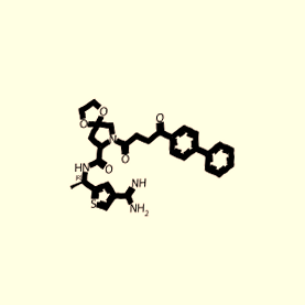 C[C@@H](NC(=O)C1CC2(CN1C(=O)CCC(=O)c1ccc(-c3ccccc3)cc1)OCCO2)c1cc(C(=N)N)cs1